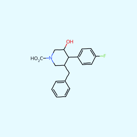 O=C(O)N1CC(O)C(c2ccc(F)cc2)C(Cc2ccccc2)C1